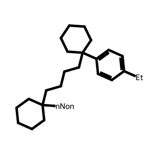 CCCCCCCCCC1(CCCCC2(c3ccc(CC)cc3)CCCCC2)CCCCC1